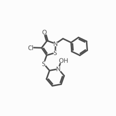 O=c1c(Cl)c(SC2C=CC=CN2O)sn1Cc1ccccc1